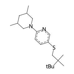 CC1CC(C)CN(c2ccc(SCC(C)(C)C(C)(C)C)cn2)C1